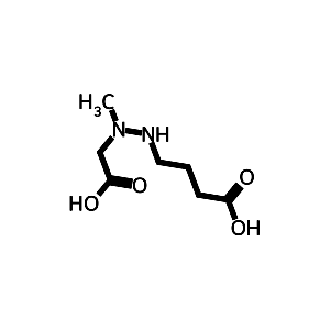 CN(CC(=O)O)NCCCC(=O)O